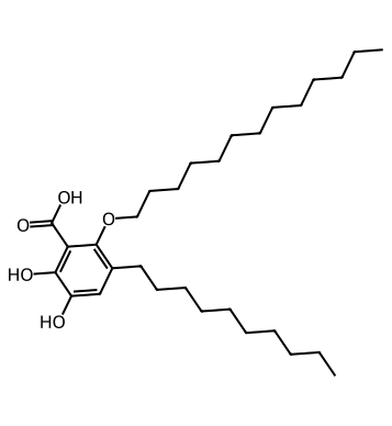 CCCCCCCCCCCCCOc1c(CCCCCCCCCC)cc(O)c(O)c1C(=O)O